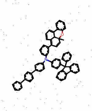 CC12C=CC(c3cccc(N(c4ccc(-c5ccc(-c6ccccc6)cc5)cc4)c4ccc(C5(c6ccccc6)c6ccccc6-c6ccccc65)cc4)c3)=C3C=CC=C(c4ccccc4O1)C32